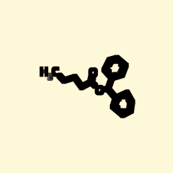 CCCCC(=O)OC(c1ccccc1)c1ccccc1